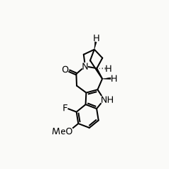 COc1ccc2[nH]c3c(c2c1F)CC(=O)N1C[C@H]2C[C@@H]3[C@@H]1C2